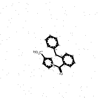 O=C(O)c1ccn(C(=O)c2ccccc2Cc2ccccc2)c1